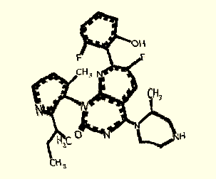 CCC(C)c1nccc(C)c1-n1c(=O)nc(N2CCNC[C@@H]2C)c2cc(F)c(-c3c(O)cccc3F)nc21